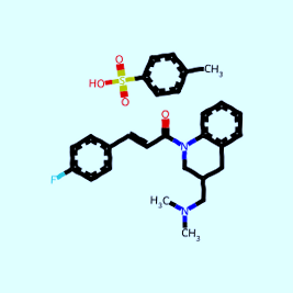 CN(C)CC1Cc2ccccc2N(C(=O)C=Cc2ccc(F)cc2)C1.Cc1ccc(S(=O)(=O)O)cc1